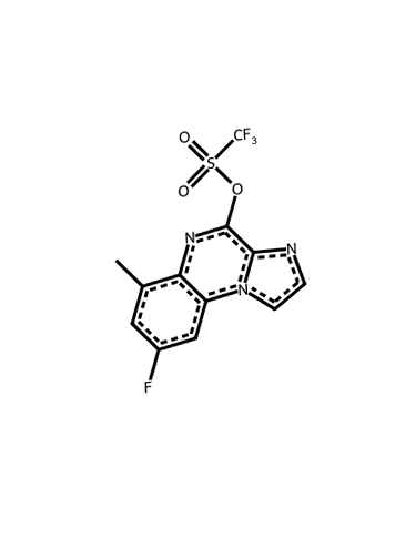 Cc1cc(F)cc2c1nc(OS(=O)(=O)C(F)(F)F)c1nccn12